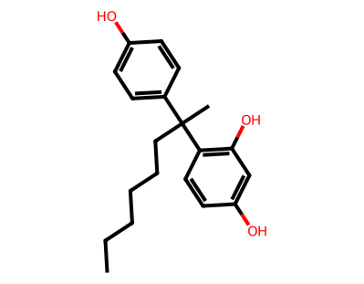 CCCCCCC(C)(c1ccc(O)cc1)c1ccc(O)cc1O